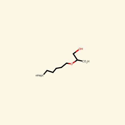 CCCCCCCCCCCCOC(CO)C(=O)O